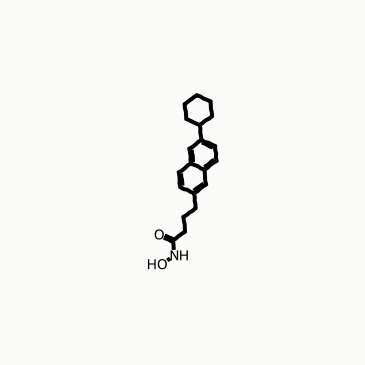 O=C(CCCc1ccc2cc(C3CCCCC3)ccc2c1)NO